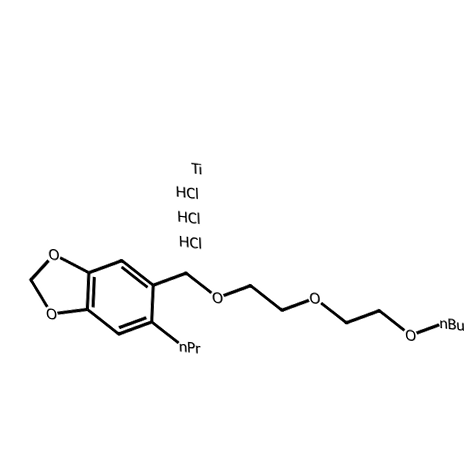 CCCCOCCOCCOCc1cc2c(cc1CCC)OCO2.Cl.Cl.Cl.[Ti]